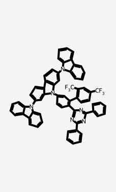 FC(F)(F)c1ccc(-c2cc(-n3c4cc(-n5c6ccccc6c6ccccc65)ccc4c4ccc(-n5c6ccccc6c6ccccc65)cc43)ccc2-c2nc(-c3ccccc3)nc(-c3ccccc3)n2)c(C(F)(F)F)c1